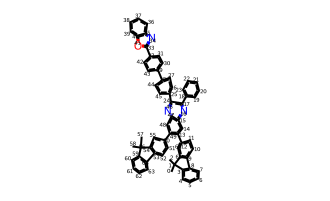 CC1(C)c2ccccc2-c2ccc(-c3cc4nc(-c5ccccc5)c(-c5ccc(-c6ccc(-c7nc8ccccc8o7)cc6)cc5)nc4cc3-c3ccc4c(c3)C(C)(C)c3ccccc3-4)cc21